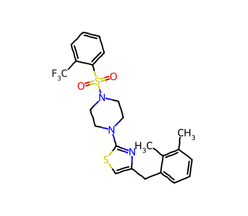 Cc1cccc(Cc2csc(N3CCN(S(=O)(=O)c4ccccc4C(F)(F)F)CC3)n2)c1C